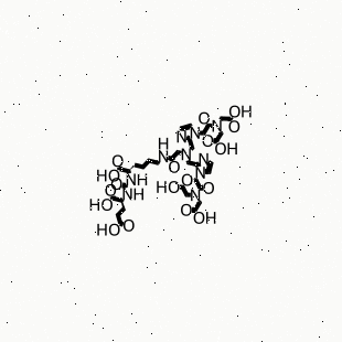 O=C(O)CC[C@H](NC(=O)N[C@@H](CCCCNC(=O)CN(Cc1nccn1CC(=O)N(CC(=O)O)CC(=O)O)Cc1nccn1CC(=O)N(CC(=O)O)CC(=O)O)C(=O)O)C(=O)O